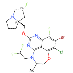 CC(=O)C1COc2c(Cl)c(Br)c(F)c3nc(OC[C@@]45CCCN4C[C@H](F)C5)nc(c23)N1CC(F)F